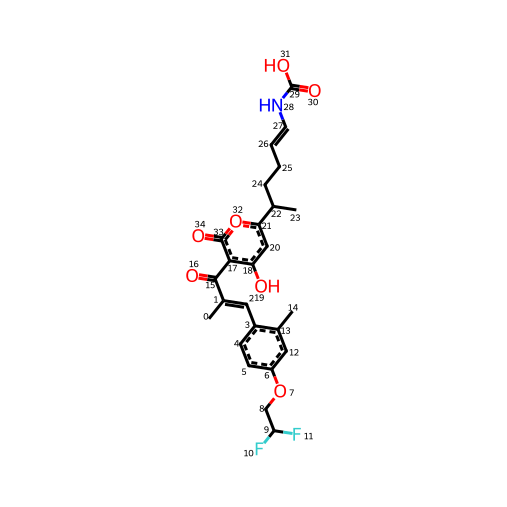 C/C(=C\c1ccc(OCC(F)F)cc1C)C(=O)c1c(O)cc(C(C)CC/C=C/NC(=O)O)oc1=O